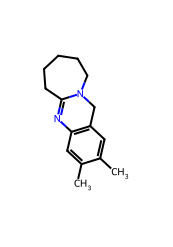 Cc1cc2c(cc1C)N=C1CCCCCN1C2